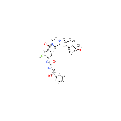 O=C(NC[C@@H](O)c1ccccc1)Nc1ccc(C(=O)N2CCN(Cc3ccc(C(O)(C(F)(F)F)C(F)(F)F)cc3)CC2)cc1F